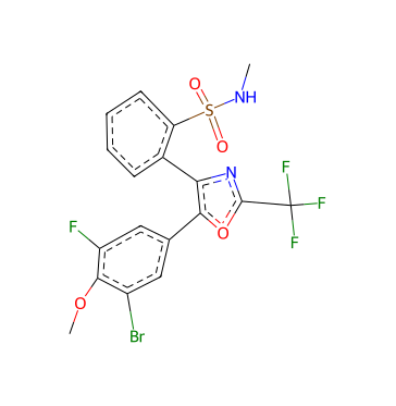 CNS(=O)(=O)c1ccccc1-c1nc(C(F)(F)F)oc1-c1cc(F)c(OC)c(Br)c1